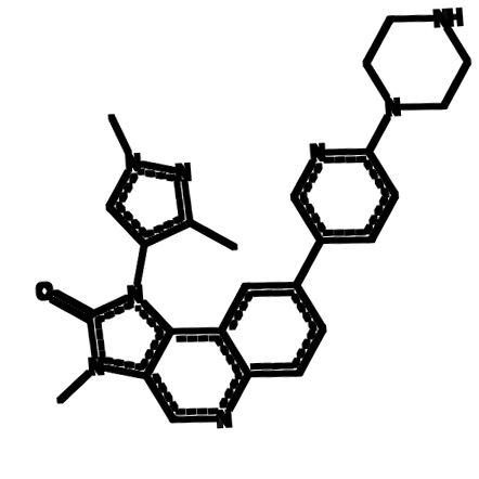 Cc1nn(C)cc1-n1c(=O)n(C)c2cnc3ccc(-c4ccc(N5CCNCC5)nc4)cc3c21